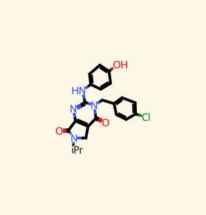 CC(C)N1Cc2c(nc(Nc3ccc(O)cc3)n(Cc3ccc(Cl)cc3)c2=O)C1=O